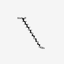 CCCCOCCOCCOCCOCCOCCCCCCC(=O)NC